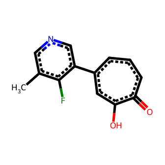 Cc1cncc(-c2cccc(=O)c(O)c2)c1F